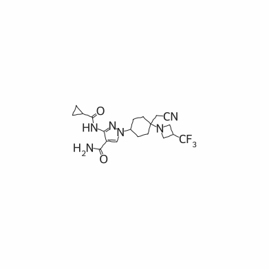 N#CCC1(N2CC(C(F)(F)F)C2)CCC(n2cc(C(N)=O)c(NC(=O)C3CC3)n2)CC1